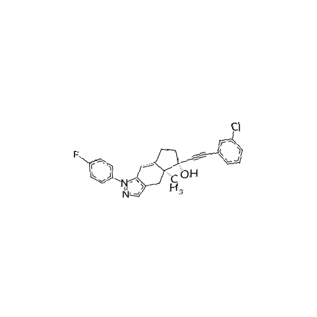 C[C@]12Cc3cnn(-c4ccc(F)cc4)c3C=C1CC[C@@]2(O)C#Cc1cccc(Cl)c1